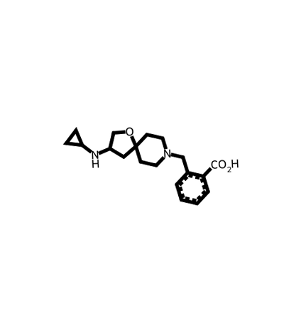 O=C(O)c1ccccc1CN1CCC2(CC1)CC(NC1CC1)CO2